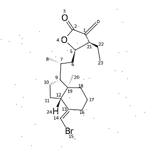 C=C1C(=O)O[C@H](C[C@@H](C)[C@H]2CC[C@H]3/C(=C/Br)CCC[C@]23C)[C@@H]1CC